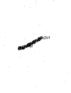 CCCCCCCCOc1ccc(N=Nc2ccc(N=Nc3ccc(N=Nc4ccc(N5CCCCC5)s4)cc3Cl)cc2)cc1